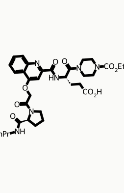 CCCNC(=O)[C@@H]1CCCN1C(=O)COc1cc(C(=O)N[C@@H](CCC(=O)O)C(=O)N2CCN(C(=O)OCC)CC2)nc2ccccc12